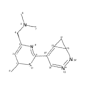 CC1C=C(CN(C)C)N=C(C2=C3CC3N=[N+]=C2)S1